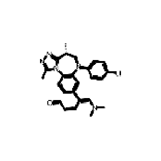 Cc1nnc2n1-c1ccc(C(/C=C\C=O)=C/N(C)C)cc1N(c1ccc(Cl)cc1)C[C@H]2C